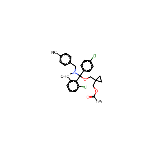 CCCC(=O)OCC1(COC(c2ccc(Cl)cc2)(c2c(Cl)cccc2C=O)N(C)Cc2ccc(C#N)cc2)CC1